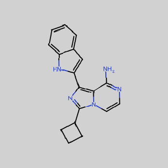 Nc1nccn2c(C3CCC3)nc(-c3cc4ccccc4[nH]3)c12